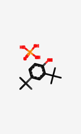 CC(C)(C)c1ccc(O)c(C(C)(C)C)c1.O=P(O)(O)O